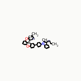 C=C/C=C\C1=C(C)Oc2cccc3c2B1c1cc(-c2ccc(-n4c(C)c(/C=C\C=C)c5ccccc54)cc2)ccc1O3